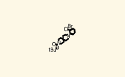 CC(C)(C)OC(=O)N1CCC2(CC1)CCN(c1cccc(Br)c1Cl)CC2